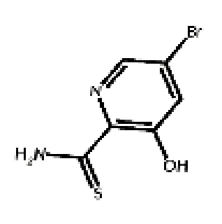 NC(=S)c1ncc(Br)cc1O